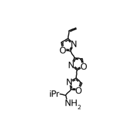 C=Cc1coc(-c2coc(-c3coc(C(N)C(C)C)n3)n2)n1